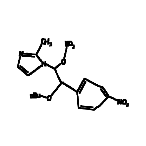 CCCCO[C](c1ccc([N+](=O)[O-])cc1)C(O[N+](=O)[O-])n1ccnc1C